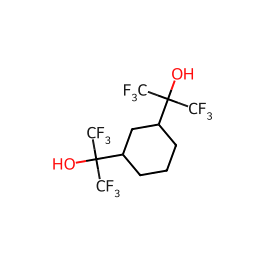 OC(C1CCCC(C(O)(C(F)(F)F)C(F)(F)F)C1)(C(F)(F)F)C(F)(F)F